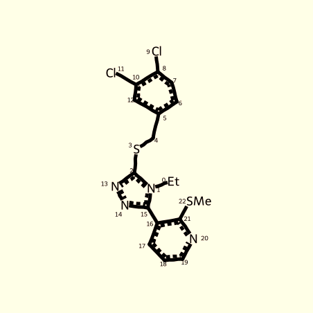 CCn1c(SCc2ccc(Cl)c(Cl)c2)nnc1-c1cccnc1SC